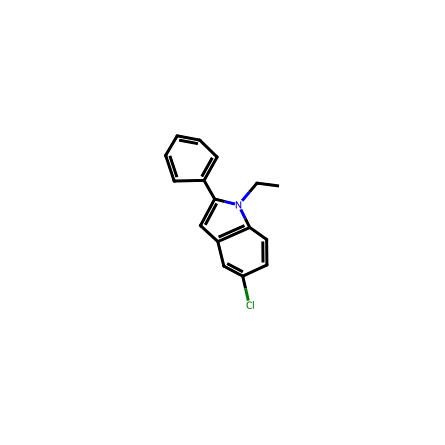 CCn1c(-c2ccccc2)cc2cc(Cl)ccc21